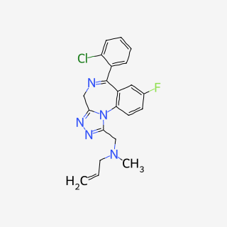 C=CCN(C)Cc1nnc2n1-c1ccc(F)cc1C(c1ccccc1Cl)=NC2